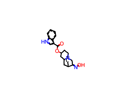 O=C(OC1CC2CC3CC(C1)N2C/C3=N\O)c1c[nH]c2ccccc12